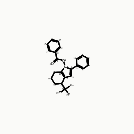 O=C(On1c(-c2ccccc2)cc2c1CCCC2C(F)(F)F)c1ccccc1